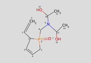 C=CC1C=CCP1(=O)CN(C(C)O)C(C)O